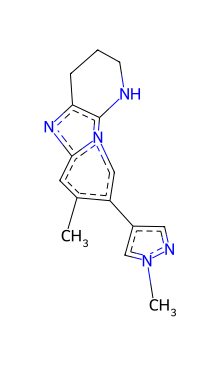 Cc1cc2nc3c(n2cc1-c1cnn(C)c1)NCCC3